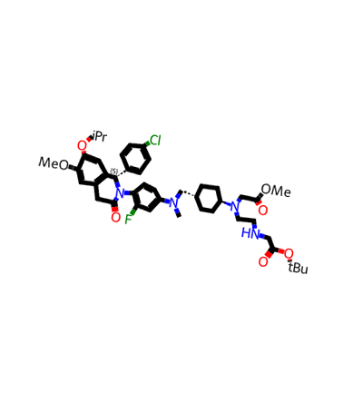 COC(=O)CN(CCNCC(=O)OC(C)(C)C)[C@H]1CC[C@H](CN(C)c2ccc(N3C(=O)Cc4cc(OC)c(OC(C)C)cc4[C@@H]3c3ccc(Cl)cc3)c(F)c2)CC1